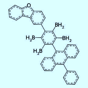 Bc1c(B)c(-c2c3ccccc3c(-c3ccccc3)c3ccccc23)c(B)c(B)c1-c1ccc2oc3ccccc3c2c1